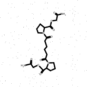 NC(=O)COC(=O)C1CCCN1C(=O)CCCCC(=O)N1CCCC1C(=O)OCC(N)=O